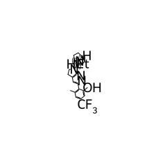 CCN1[C@@H]2CC[C@@H](N3CCc4cc(-c5c(C)cc(C(F)(F)F)cc5O)nnc43)[C@H]1CC2